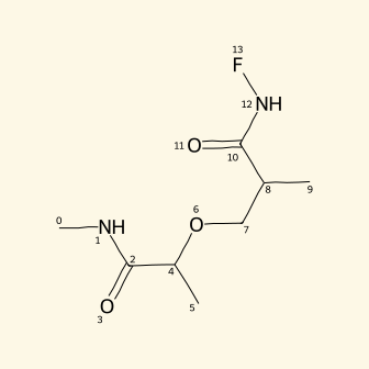 CNC(=O)C(C)OCC(C)C(=O)NF